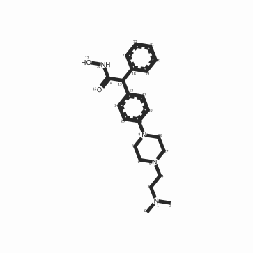 CN(C)CCN1CCN(c2ccc(C(C(=O)NO)c3ccccc3)cc2)CC1